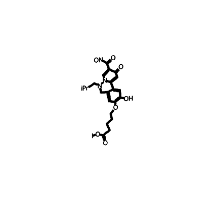 CC(C)CN1Cc2cc(OCCCCC(=O)OI)c(O)cc2-c2cc(=O)c(C(=O)N=O)cn21